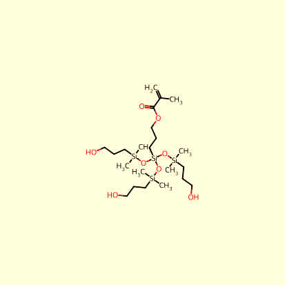 C=C(C)C(=O)OCCC[Si](O[Si](C)(C)CCCO)(O[Si](C)(C)CCCO)O[Si](C)(C)CCCO